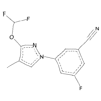 Cc1cn(-c2cc(F)cc(C#N)c2)nc1OC(F)F